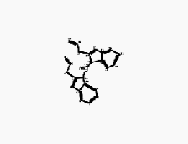 C=CCC1=Cc2ccccc2[CH]1[Mg][CH]1C(CC=C)=Cc2ccccc21